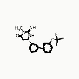 CN1C(=N)N[C@H](c2cccc(-c3cccc(OC(F)(F)F)c3)c2)CC1=O